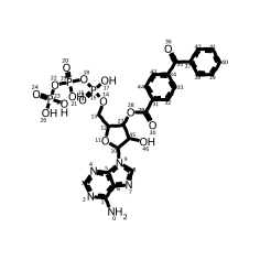 Nc1ncnc2c1ncn2C1OC(COP(=O)(O)OP(=O)(O)OP(=O)(O)O)C(OC(=O)c2ccc(C(=O)c3ccccc3)cc2)C1O